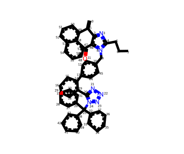 C=C(c1nc(CCC)n(Cc2ccc(-c3ccccc3-c3nnnn3C(c3ccccc3)(c3ccccc3)c3ccccc3)cc2)c1C=O)c1cccc2ccccc12